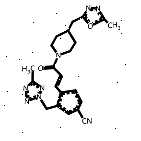 Cc1nnn(Cc2cc(C#N)ccc2C=CC(=O)N2CCC(Cc3nnc(C)o3)CC2)n1